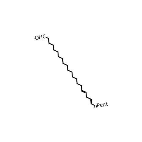 CCCCCC=CCC=CCCCCCCCCCCCCCCC[C]=O